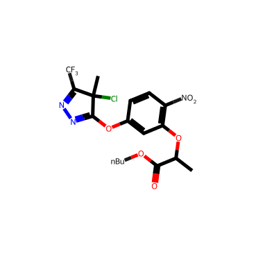 CCCCOC(=O)C(C)Oc1cc(OC2=NN=C(C(F)(F)F)C2(C)Cl)ccc1[N+](=O)[O-]